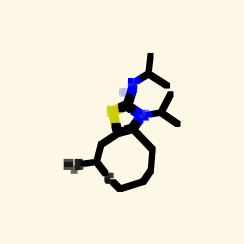 BC1CCCCCc2c(s/c(=N/C(C)C)n2C(C)C)C1